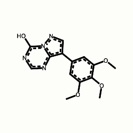 COc1cc(-c2cnn3c(O)ncnc23)cc(OC)c1OC